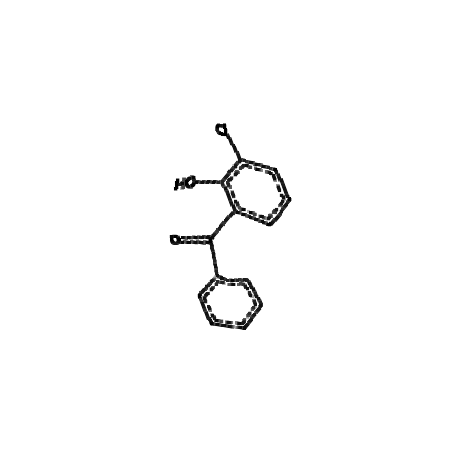 O=C(c1ccccc1)c1cccc(Cl)c1O